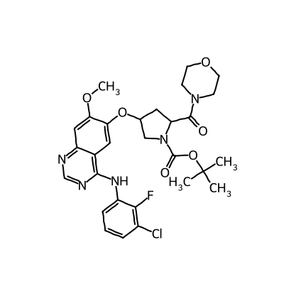 COc1cc2ncnc(Nc3cccc(Cl)c3F)c2cc1OC1CC(C(=O)N2CCOCC2)N(C(=O)OC(C)(C)C)C1